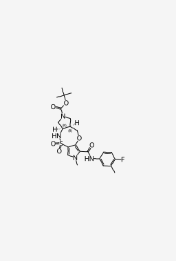 Cc1cc(NC(=O)c2c3c(cn2C)S(=O)(=O)N[C@H]2CN(C(=O)OC(C)(C)C)C[C@H]2CO3)ccc1F